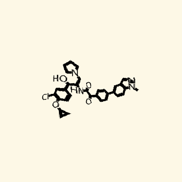 Cn1ncc2cc(-c3ccc(C(=O)C(=O)NC(CN4CCCC4)C(O)c4ccc(OC5CC5)c(Cl)c4)cc3)ccc21